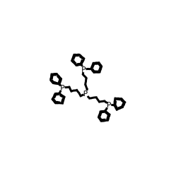 c1ccc(P(CCCCP(CCCCP(c2ccccc2)c2ccccc2)CCCCP(c2ccccc2)c2ccccc2)c2ccccc2)cc1